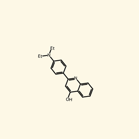 CCN(CC)c1ccc(-c2cc(O)c3ccccc3n2)cc1